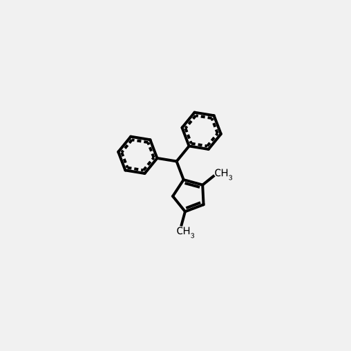 CC1=CC(C)=C(C(c2ccccc2)c2ccccc2)C1